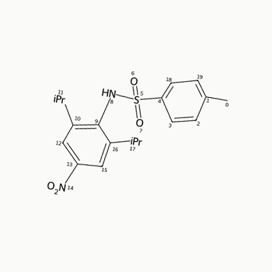 Cc1ccc(S(=O)(=O)Nc2c(C(C)C)cc([N+](=O)[O-])cc2C(C)C)cc1